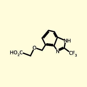 O=C(O)COCc1cccc2[nH]c(C(F)(F)F)nc12